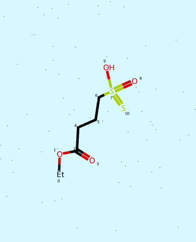 CCOC(=O)CCCS(=O)(O)=S